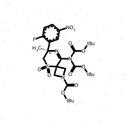 CC(C)(C)OC(=O)N1CC2(C1)C(N(C(=O)OC(C)(C)C)C(=O)OC(C)(C)C)=N[C@](C)(c1cc([N+](=O)[O-])ccc1F)CS2(=O)=O